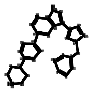 c1cncc(Cn2cc(-c3c[nH]c4ncc(-c5ccc(C6CCNCC6)cc5)cc34)cn2)c1